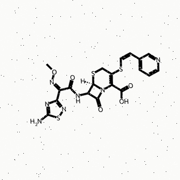 CO/N=C(\C(=O)NC1C(=O)N2C(C(=O)O)=C(S/C=C\c3cccnc3)CS[C@H]12)c1nsc(N)n1